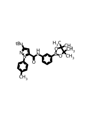 Cc1ccc(-n2nc(C(C)(C)C)cc2C(=O)Nc2cccc(B3OC(C)(C)C(C)(C)O3)c2)cc1